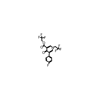 O=C(OCC(F)(F)F)c1cn(CC(F)(F)F)cc(-c2ccc(F)cc2)c1=O